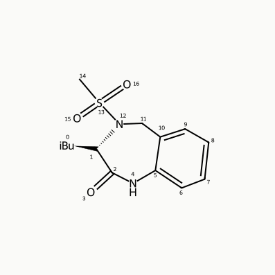 CC[C@H](C)[C@H]1C(=O)Nc2ccccc2CN1S(C)(=O)=O